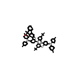 Cc1ccc(N(c2ccc(C)cc2)c2ccc3c(c2)Oc2cc(C(C)(C)C)cc4c2B3c2cc(C(C)(C)C)ccc2N4c2ccc(N(c3ccc(C)cc3)c3ccc(C)cc3)c3c2sc2cc4c(cc23)C(C)(C)c2ccccc2-4)cc1